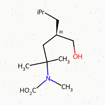 CC(C)C[C@@H](CO)CC(C)(C)N(C)C(=O)O